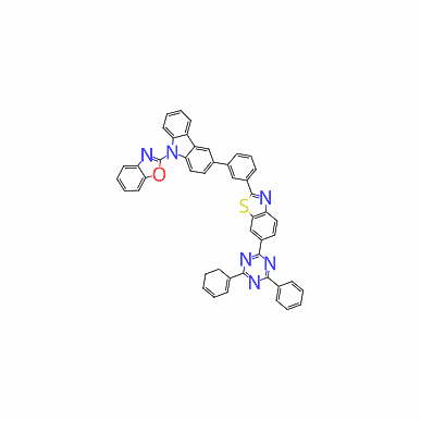 C1=CCCC(c2nc(-c3ccccc3)nc(-c3ccc4nc(-c5cccc(-c6ccc7c(c6)c6ccccc6n7-c6nc7ccccc7o6)c5)sc4c3)n2)=C1